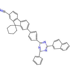 N#Cc1ccc2c(c1)C1(CCCCC1)c1cc(-c3ccc(-c4nc(-c5ccccc5)nc(-c5ccc6ccccc6c5)n4)cc3)ccc1-2